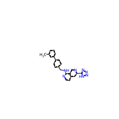 Cc1cccc(-c2ccc(CNc3nccc4cc(-c5nnn[nH]5)ncc34)cc2)c1